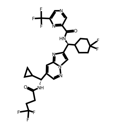 O=C(CCC(F)(F)F)N[C@@H](c1cnn2cc([C@@H](NC(=O)c3cncc(C(F)(F)F)n3)C3CCC(F)(F)CC3)nc2c1)C1CC1